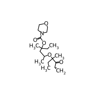 C=CC(=O)C(C)(CC)OC(C)CC(C)(CC)OC(=O)N1CCOCC1